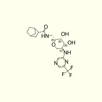 O=C(NC[C@H]1OC[C@H](Nc2cncc(C(F)(F)F)n2)[C@@H](O)[C@H]1O)C1CC2CCC1C2